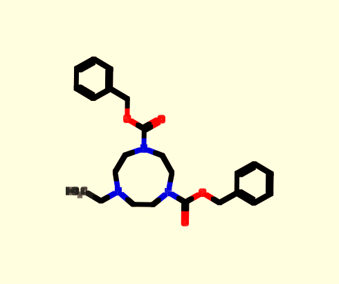 O=C(O)CN1CCN(C(=O)OCc2ccccc2)CCN(C(=O)OCc2ccccc2)CC1